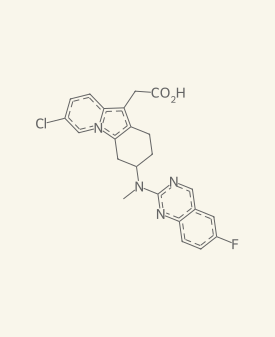 CN(c1ncc2cc(F)ccc2n1)C1CCc2c(CC(=O)O)c3ccc(Cl)cn3c2C1